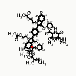 CN[C@@H](C)C(=O)N[C@H](C(=O)N1CCC[C@H]1Cc1c(-c2ccc(-c3c(C[C@@H]4CCCN4C(=O)[C@@H](NC(=O)[C@H](C)NC)C(C)C)c4ccc(F)cc4n3CCOC(C)=O)cc2)n(CCOC(C)=O)c2cc(F)ccc12)C(C)C